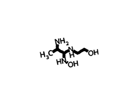 CC(N)C(NO)NCCO